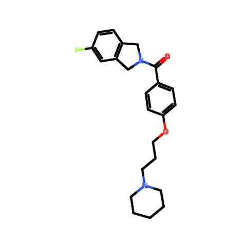 O=C(c1ccc(OCCCN2CCCCC2)cc1)N1Cc2ccc(F)cc2C1